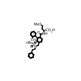 CCCCS(=O)(=O)N(CCc1ccccc1)Cc1ccc(C(=O)N[C@@H](CCSC)C(=O)O)c(-c2ccccc2C)c1